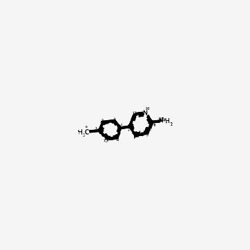 Cc1ccc(-c2ccc(P)nc2)cc1